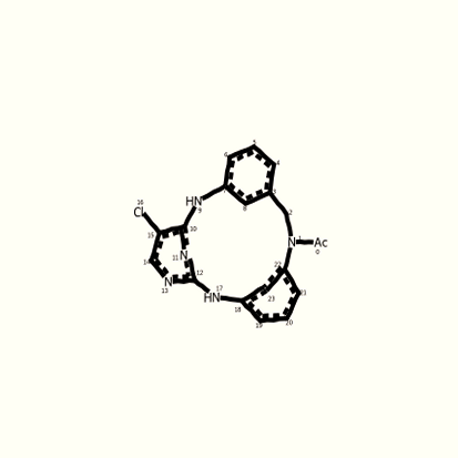 CC(=O)N1Cc2cccc(c2)Nc2nc(ncc2Cl)Nc2cccc1c2